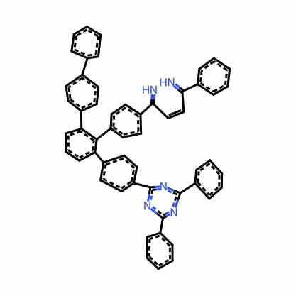 N=C(/C=C\C(=N)c1ccc(-c2c(-c3ccc(-c4ccccc4)cc3)cccc2-c2ccc(-c3nc(-c4ccccc4)nc(-c4ccccc4)n3)cc2)cc1)c1ccccc1